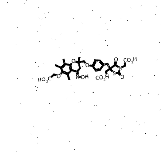 Cc1c(C)c2c(c(C)c1OCC(=O)O)C(=NO)CC(C)(COc1ccc(CC3(CC(=O)O)SC(=O)N(CC(=O)O)C3=O)cc1)O2